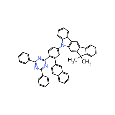 CC1(C)c2ccccc2-c2cc3c4ccccc4n(-c4ccc(-c5nc(-c6ccccc6)nc(-c6ccccc6)n5)c(-c5ccc6ccccc6c5)c4)c3cc21